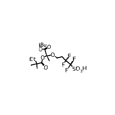 CCC(C)(C)C(=O)OC(C)(OCCC(F)(F)C(F)(F)S(=O)(=O)O)C(=O)OC(C)(C)C